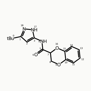 CC(C)(C)c1cc(NC(=O)C2COc3ccccc3O2)[nH]n1